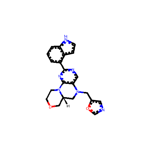 c1cc(-c2ncc3c(n2)N2CCOC[C@H]2CN3Cc2cnco2)c2cc[nH]c2c1